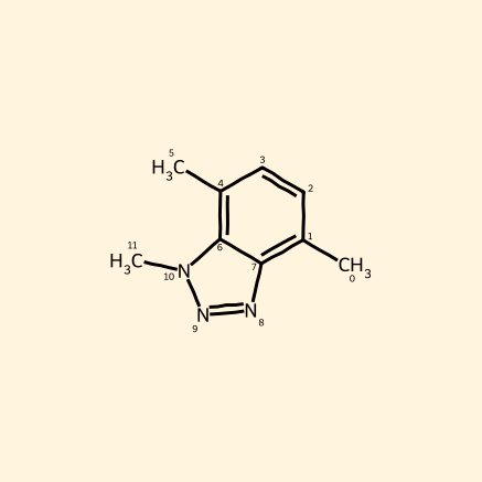 Cc1ccc(C)c2c1nnn2C